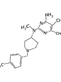 Cc1nc(N(C)C2CCN(Cc3ccc(C(F)(F)F)cc3)CC2)nc(N)c1C